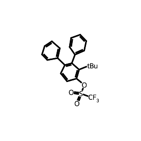 CC(C)(C)c1c(OS(=O)(=O)C(F)(F)F)ccc(-c2ccccc2)c1-c1ccccc1